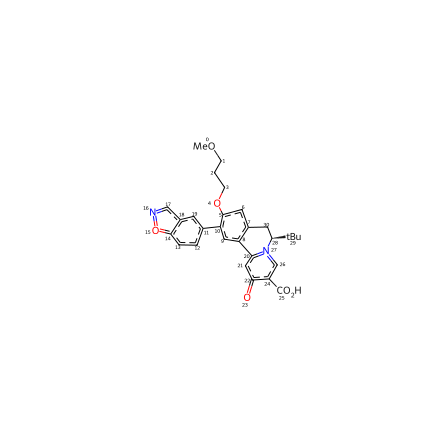 COCCCOc1cc2c(cc1-c1ccc3oncc3c1)-c1cc(=O)c(C(=O)O)cn1[C@H](C(C)(C)C)C2